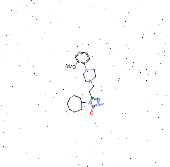 COc1ccccc1N1CCN(CCc2n[nH]c(=O)n2C2CCCCCCC2)CC1